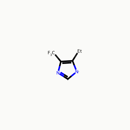 CCC1=C(C(F)(F)F)N=[C][N]1